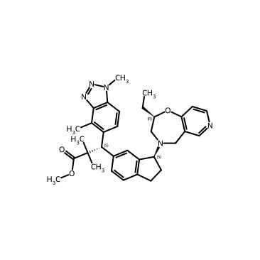 CC[C@@H]1CN([C@H]2CCc3ccc([C@@H](c4ccc5c(nnn5C)c4C)C(C)(C)C(=O)OC)cc32)Cc2cnccc2O1